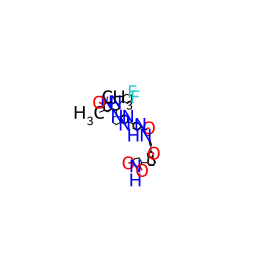 Cc1cc2c(N3CCCc4nc(-c5ccc(C(=O)NCC#Cc6cc7c(C8CCC(=O)NC8=O)cccc7o6)nc5)ncc43)cc(C3CCC(F)(F)CC3)nc2n(C)c1=O